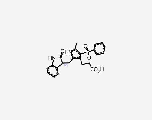 Cc1[nH]c(/C=C2\C(=O)Nc3ccccc32)c(CCC(=O)O)c1S(=O)(=O)c1ccccc1